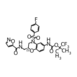 CC(C)(OC(=O)Nc1ccc2c(c1)N(S(=O)(=O)c1ccc(F)cc1)C[C@H](CNC(=O)c1ccno1)O2)C(F)(F)F